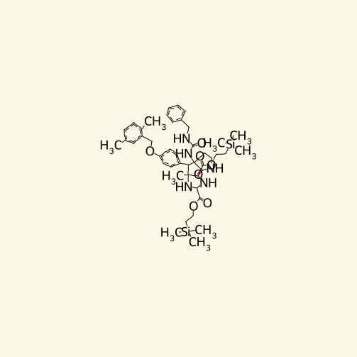 Cc1ccc(C)c(COc2ccc(C(C3(NC(=O)NCc4ccccc4)CCNC3=O)C3(C)NC(C(=O)OCC[Si](C)(C)C)NC3C(=O)OCC[Si](C)(C)C)cc2)c1